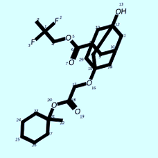 CC(F)(F)COC(=O)C12CC3CC(O)(CC(OCC(=O)OC4(C)CCCCC4)(C3)C1)C2